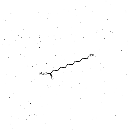 CC[C@H](C)CCCCCCCCCCC(=O)OC